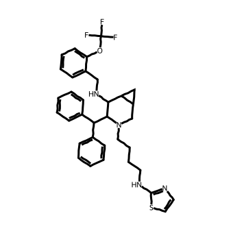 FC(F)(F)Oc1ccccc1CNC1C2CC2CN(CCCCNc2nccs2)C1C(c1ccccc1)c1ccccc1